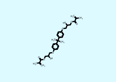 C=C(C)C(=O)OCC(S)COc1ccc(C(C)(C)c2ccc(OCC(S)COC(=O)C(=C)C)cc2)cc1